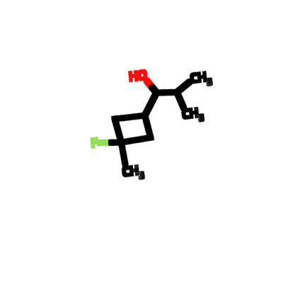 CC(C)C(O)C1CC(C)(F)C1